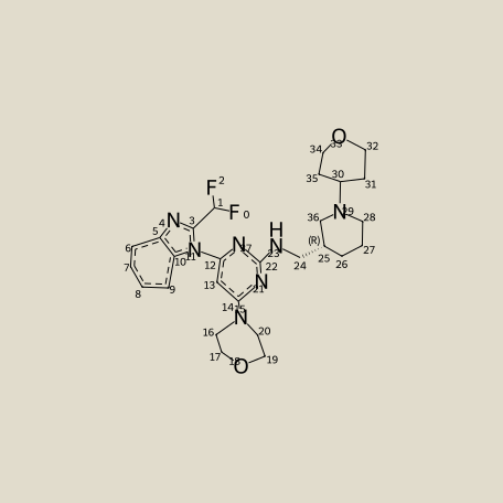 FC(F)c1nc2ccccc2n1-c1cc(N2CCOCC2)nc(NC[C@H]2CCCN(C3CCOCC3)C2)n1